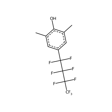 Cc1cc(C(F)(F)C(F)(F)C(F)(F)C(F)(F)F)cc(C)c1O